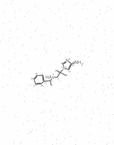 CC([AsH]CC(C)(C)n1cnc(N)c1)c1ccccc1